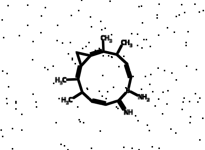 CC1=C2C/C2=C(\C)C(C)/C=C\B(N)C(=N)/C=C\C1C